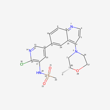 C[C@@H]1CN(c2ccnc3ccc(-c4cnc(Cl)c(NS(C)(=O)=O)c4)cc23)CCO1